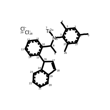 Cc1cc(C)c([N]([Ti+2])C(C)c2ccccc2C2C=Cc3ccccc32)c(C)c1.[Cl-].[Cl-]